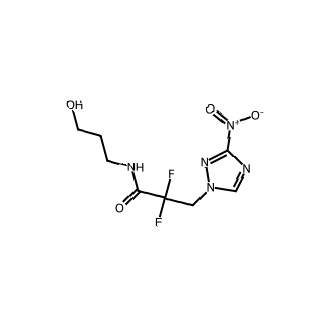 O=C(NCCCO)C(F)(F)Cn1cnc([N+](=O)[O-])n1